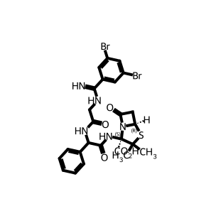 CC1(C)S[C@@H]2CC(=O)N2[C@@]1(NC(=O)C(NC(=O)CNC(=N)c1cc(Br)cc(Br)c1)c1ccccc1)C(=O)O